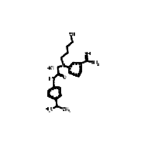 CC(C)c1ccc(NC(=O)CN(CCCCO)c2cccc(C(=N)N)c2)cc1.Cl